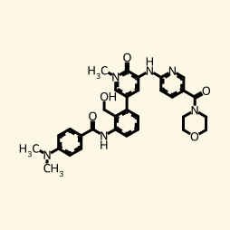 CN(C)c1ccc(C(=O)Nc2cccc(-c3cc(Nc4ccc(C(=O)N5CCOCC5)cn4)c(=O)n(C)c3)c2CO)cc1